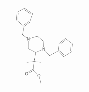 COC(=O)C(C)(C)C1CN(Cc2ccccc2)CCN1Cc1ccccc1